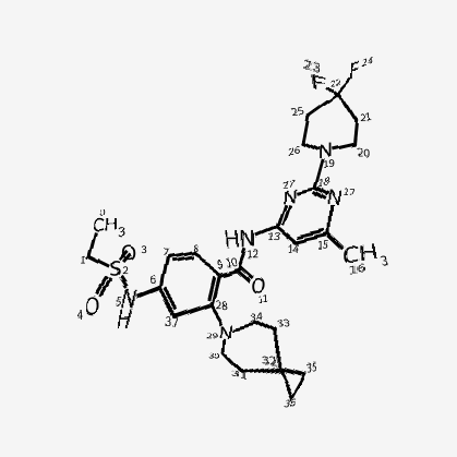 CCS(=O)(=O)Nc1ccc(C(=O)Nc2cc(C)nc(N3CCC(F)(F)CC3)n2)c(N2CCC3(CC2)CC3)c1